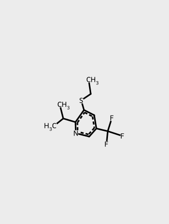 CCSc1cc(C(F)(F)F)cnc1C(C)C